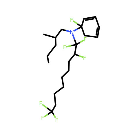 CCCC(C)CN(C1(F)C=CC=CC1)C(F)(F)C(F)CCCCCCC(F)(F)F